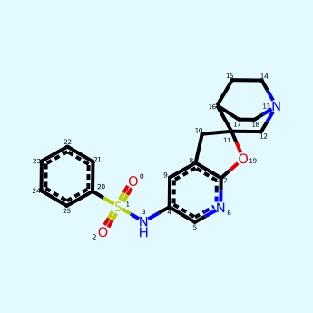 O=S(=O)(Nc1cnc2c(c1)CC1(CN3CCC1CC3)O2)c1ccccc1